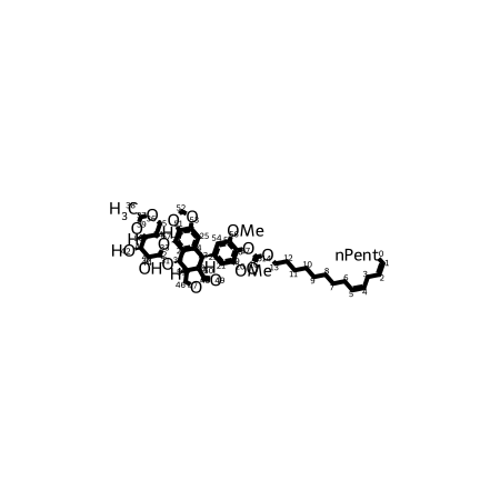 CCCCC/C=C\C/C=C\CCCCCCCCOC(=O)Oc1c(OC)cc([C@@H]2c3cc4c(cc3[C@@H](O[C@@H]3O[C@@H]5CO[C@@H](C)O[C@H]5[C@H](O)[C@H]3O)[C@H]3COC(=O)[C@H]23)OCO4)cc1OC